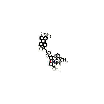 CC1=CN/C(=C(/c2c(C)cc(OC(=O)CCCc3ccc4c5ccc(C(F)(F)F)c6c(C(F)(F)F)ccc(c7ccc(C(F)(F)F)c3c47)c65)cc2C)c2c3c(c(C)n2BF)CCC3)C2=C1CCC2